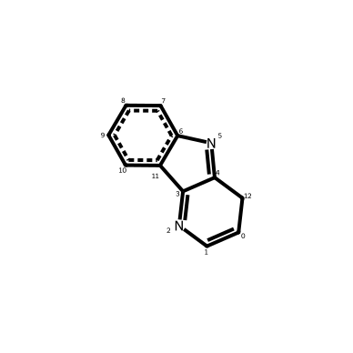 C1=CN=C2C(=Nc3ccccc32)C1